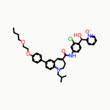 CCCCOCCOc1ccc(-c2ccc3c(c2)C=C(C(=O)Nc2ccc(C(O)c4cccc[n+]4[O-])c(Cl)c2)CCN3CC(C)C)cc1